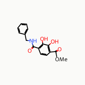 COC(=O)c1ccc(C(=O)NCc2ccccc2)c(O)c1O